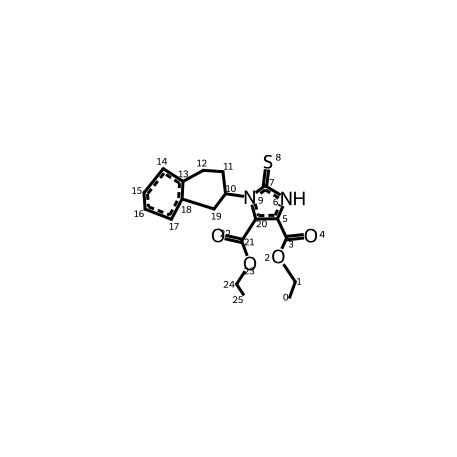 CCOC(=O)c1[nH]c(=S)n(C2CCc3ccccc3C2)c1C(=O)OCC